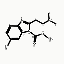 CN(C)CCc1nc2ccc(Br)cc2n1C(=O)OC(C)(C)C